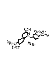 COc1ccc(Cc2nc(O)cc3cc(OC)c(OC)cc23)cc1OC.[Na]